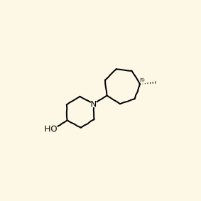 C[C@H]1CCCC(N2CCC(O)CC2)CC1